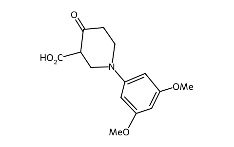 COc1cc(OC)cc(N2CCC(=O)C(C(=O)O)C2)c1